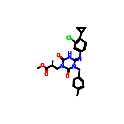 COC(=O)[C@@H](C)Cn1c(=O)[nH]/c(=N\c2ccc(C3CC3)c(Cl)c2)n(Cc2ccc(C)cc2)c1=O